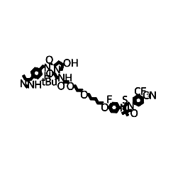 Cc1nc[nH]c1-c1ccc(CNC(=O)[C@@H]2C[C@@H](O)CN2C(=O)[C@@H](NC(=O)COCCCOCCCCCOc2ccc(N3C(=S)N(c4ccc(C#N)c(C(F)(F)F)c4)C(=O)C3(C)C)cc2F)C(C)(C)C)cc1